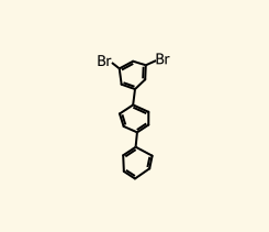 Brc1cc(Br)cc(-c2ccc(-c3ccccc3)cc2)c1